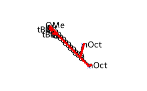 CCCCCCCC/C=C\CCCCCCCCOCC(COCCOCCOCCOCCOCCOCCOCCOCCOC(=O)CN(CCOC(=O)CN(CCOC)C(=O)OC(C)(C)C)C(=O)OC(C)(C)C)OCCCCCCCC/C=C\CCCCCCCC